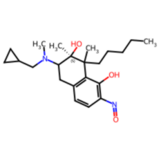 CCCCCC1(C)c2c(ccc(N=O)c2O)CC(N(C)CC2CC2)[C@@]1(C)O